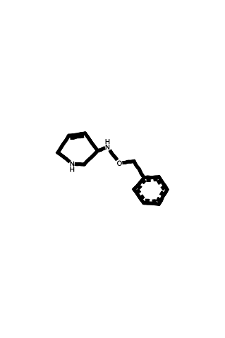 C1=CC(NOCc2ccccc2)CNC1